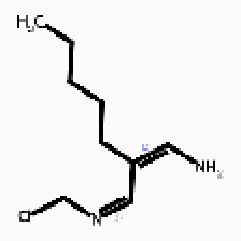 CCCCCC(/C=N\CCl)=C/N